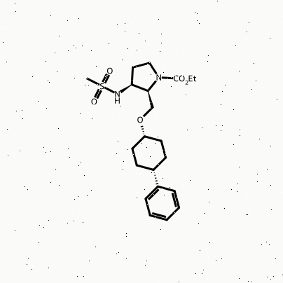 CCOC(=O)N1CC[C@H](NS(C)(=O)=O)[C@@H]1CO[C@H]1CC[C@@H](c2ccccc2)CC1